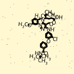 COc1ccc(CN(c2ncnc(Nc3ccc(Oc4cccc(C(=O)NC(C)(C)C)c4)c(Cl)c3)c2C=O)C(CCC(=O)O)C(C)(C)C)cc1